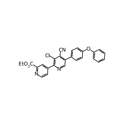 CCOC(=O)c1cc(-c2ncc(-c3ccc(Oc4ccccc4)cc3)c(C#N)c2Cl)ccn1